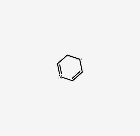 [C]1C=CN=CC1